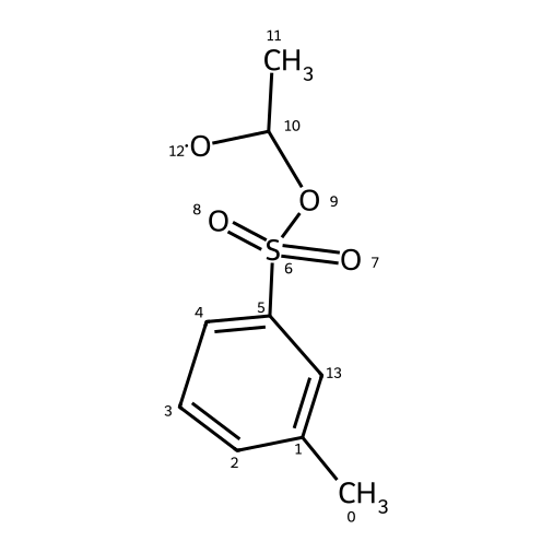 Cc1cccc(S(=O)(=O)OC(C)[O])c1